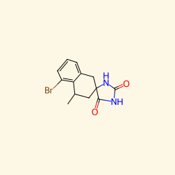 CC1CC2(Cc3cccc(Br)c31)NC(=O)NC2=O